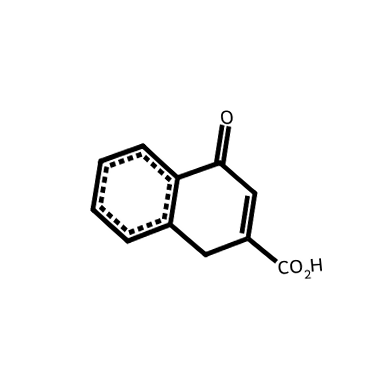 O=C(O)C1=CC(=O)c2ccccc2C1